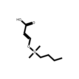 CCCC[Si](C)(C)OC=CC(=O)O